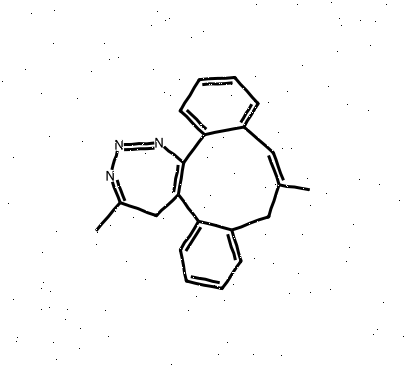 CC1=NN=NC2=C(C1)c1ccccc1C/C(C)=C\c1ccccc12